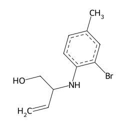 C=CC(CO)Nc1ccc(C)cc1Br